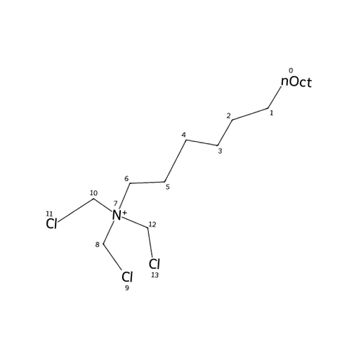 CCCCCCCCCCCCCC[N+](CCl)(CCl)CCl